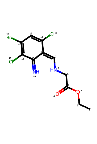 CCOC(=O)CN/C=C1\C(=N)C(Cl)=C(Br)C=C1Cl